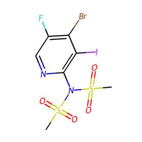 CS(=O)(=O)N(c1ncc(F)c(Br)c1I)S(C)(=O)=O